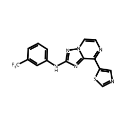 FC(F)(F)c1cccc(Nc2nc3c(-c4cncs4)nccn3n2)c1